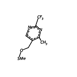 CSOCc1cnc(C(F)(F)F)nc1C